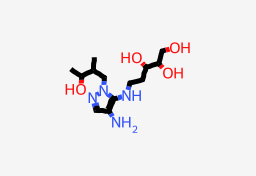 CC(O)C(C)Cn1ncc(N)c1NCCC(O)C(O)CO